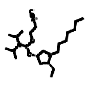 [C-]#[N+]CCOP(O[C@H]1C[C@@H](CC)N(CCCCCCC)C1)N(C(C)C)C(C)C